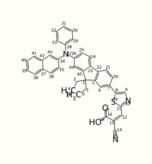 CCC1(CC)c2cc(-c3cnc(C=C(C#N)C(=O)O)s3)ccc2-c2ccc(N(c3ccccc3)c3ccc4ccccc4c3)cc21